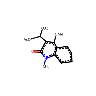 COc1c(C(OC(C)=O)OC(C)=O)c(=O)n(C)c2ccccc12